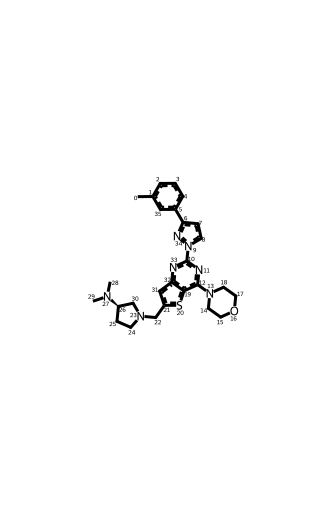 Cc1cccc(-c2ccn(-c3nc(N4CCOCC4)c4sc(CN5CC[C@@H](N(C)C)C5)cc4n3)n2)c1